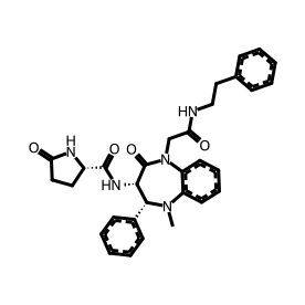 CN1c2ccccc2N(CC(=O)NCCc2ccccc2)C(=O)[C@@H](NC(=O)[C@@H]2CCC(=O)N2)[C@H]1c1ccccc1